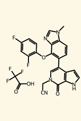 Cn1cnc2c(Oc3ccc(F)cc3F)c(-c3cn(CC#N)c(=O)c4[nH]ccc34)ccc21.O=C(O)C(F)(F)F